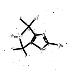 CCCCCC(C)(C)c1[nH]c(C(C)(C)C)nc1C(C)(C)CC